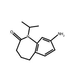 CC(C)N1C(=O)CCCc2ccc(N)cc21